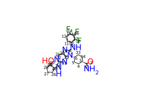 NC(=O)[C@H]1CC[C@H](n2c(Nc3ccc(F)c(F)c3F)nc3cnc(N[C@@H]4CCC[C@H]4O)nc32)CC1